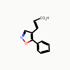 O=C(O)C=Cc1cnoc1-c1ccccc1